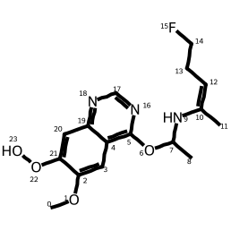 COc1cc2c(OC(C)N/C(C)=C\CCF)ncnc2cc1OO